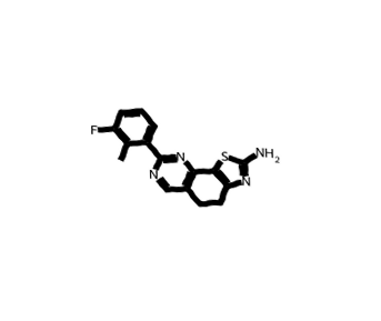 Cc1c(F)cccc1-c1ncc2c(n1)-c1sc(N)nc1CC2